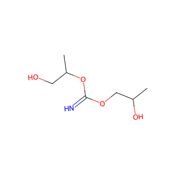 CC(O)COC(=N)OC(C)CO